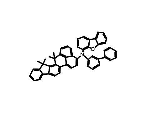 CC1(C)c2ccccc2-c2ccc3c(c21)C(C)(C)c1cccc2c(N(c4cccc(-c5ccccc5)c4)c4cccc5c4oc4ccccc45)ccc-3c12